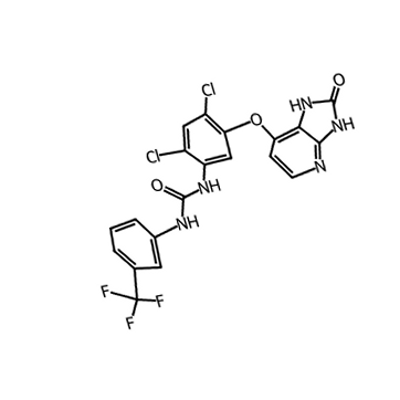 O=C(Nc1cccc(C(F)(F)F)c1)Nc1cc(Oc2ccnc3[nH]c(=O)[nH]c23)c(Cl)cc1Cl